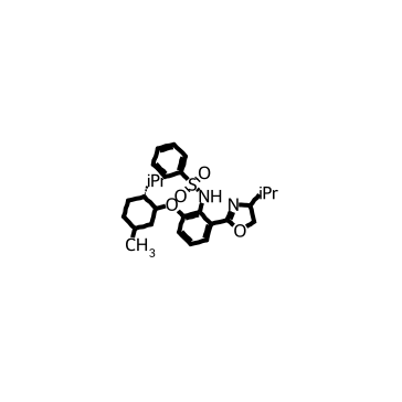 CC1CC[C@H](C(C)C)C(Oc2cccc(C3=NC(C(C)C)CO3)c2NS(=O)(=O)c2ccccc2)C1